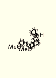 COc1cccc(COc2cc3c(cc2OC)CCN2Cc4[nH]c5ccccc5c4CC32)c1